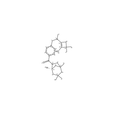 CN(Cc1ccc(C(=O)N2CC3(C)C[C@H]2CC(C)(C)C3)cc1)C1=C(O)C(C)(C)C1